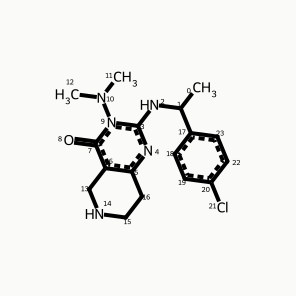 CC(Nc1nc2c(c(=O)n1N(C)C)CNCC2)c1ccc(Cl)cc1